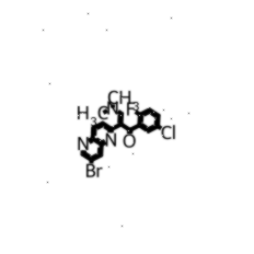 CN(C)/C=C(/C(=O)c1cc(Cl)ccc1F)c1ccc2ncc(Br)cc2n1